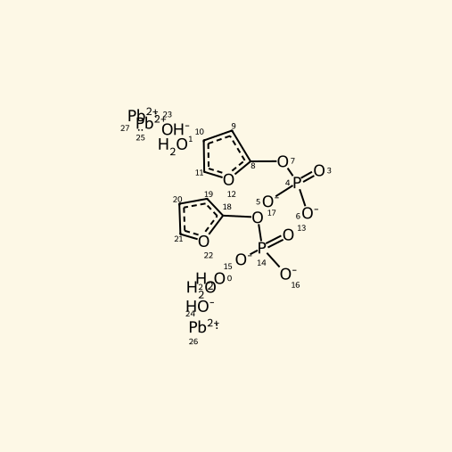 O.O.O.O=P([O-])([O-])Oc1ccco1.O=P([O-])([O-])Oc1ccco1.[OH-].[OH-].[Pb+2].[Pb+2].[Pb+2]